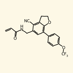 C=CC(=O)NCc1cc(-c2ccc(OC(F)(F)F)cc2)c2c(c1C#N)CCO2